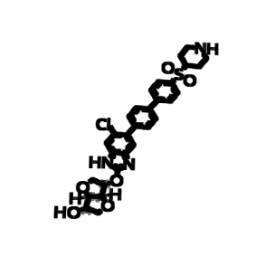 O=S(=O)(c1ccc(-c2ccc(-c3cc4nc(O[C@@H]5CO[C@H]6[C@@H]5OC[C@H]6O)[nH]c4cc3Cl)cc2)cc1)C1CCNCC1